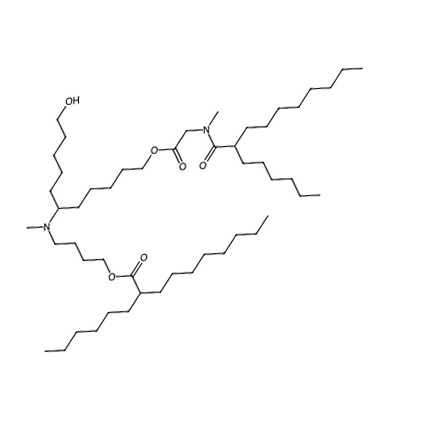 CCCCCCCCC(CCCCCC)C(=O)OCCCCN(C)C(CCCCCO)CCCCCOC(=O)CN(C)C(=O)C(CCCCCC)CCCCCCCC